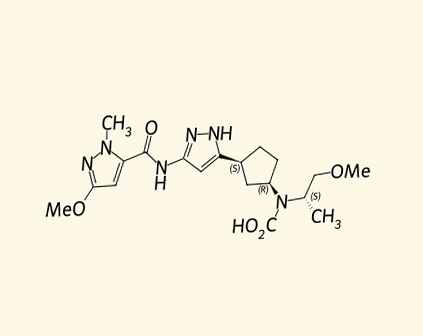 COC[C@H](C)N(C(=O)O)[C@@H]1CC[C@H](c2cc(NC(=O)c3cc(OC)nn3C)n[nH]2)C1